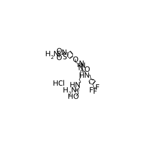 Cl.N[C@H](CO)CNCCCC[C@@H](C(=O)NCc1ccc(C(F)(F)F)cc1)n1cc(COc2ccc3nc(S(N)(=O)=O)sc3c2)nn1